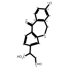 O=CCC(C(=O)O)c1ccc2c(c1)SCc1cc(Cl)ccc1C2=O